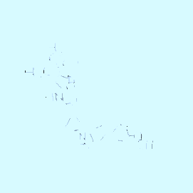 COc1ccc(-c2ccc3c(c2)ncn3-c2ccc(CC(=O)Nc3cc(C(C)(C)C)no3)cc2)cn1